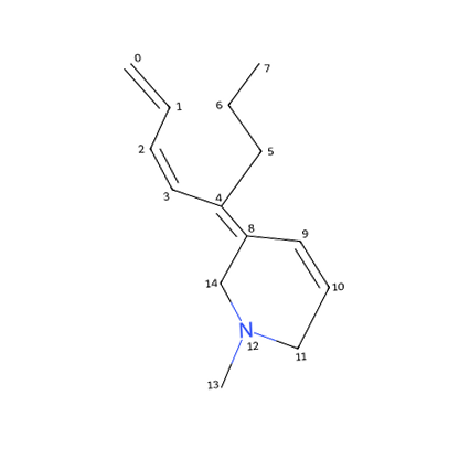 C=C/C=C\C(CCC)=C1\C=CCN(C)C1